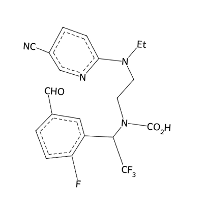 CCN(CCN(C(=O)O)C(c1cc(C=O)ccc1F)C(F)(F)F)c1ccc(C#N)cn1